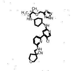 C[C@@H](N[C@H]1CC[C@H](Nc2cc(-c3cccc(NCC4(C#N)CCOCC4)n3)c(Cl)cn2)CC1)[C@@H](C)OCc1nn[nH]n1